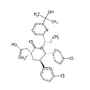 CC[C@@H](c1cccc(C(C)(C)O)n1)N1C(=O)[C@](C)(CC(=O)O)C[C@H](c2cccc(Cl)c2)[C@H]1c1ccc(Cl)cc1